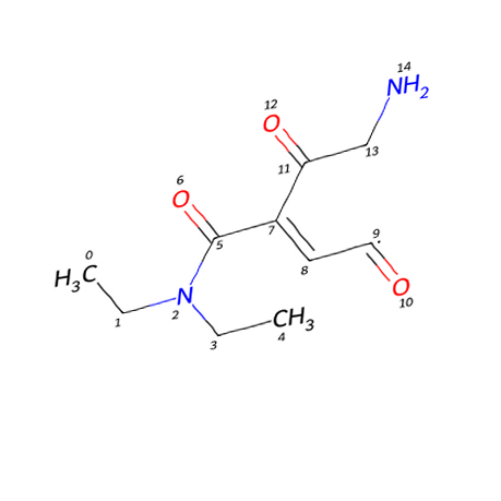 CCN(CC)C(=O)C(=C[C]=O)C(=O)CN